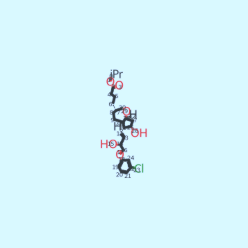 CC(C)OC(=O)CCC[C@H]1CC[C@@H]2[C@@H](C=C[C@H](O)COc3cccc(Cl)c3)[C@H](O)C[C@@H]2OC1